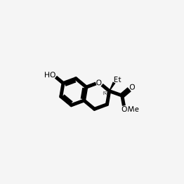 CC[C@@]1(C(=O)OC)CCc2ccc(O)cc2O1